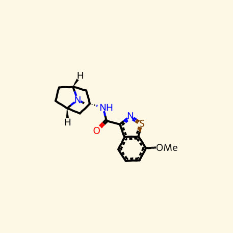 COc1cccc2c(C(=O)N[C@H]3C[C@H]4CC[C@@H](C3)N4C)nsc12